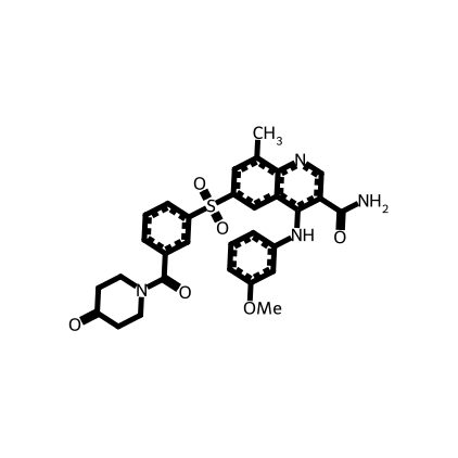 COc1cccc(Nc2c(C(N)=O)cnc3c(C)cc(S(=O)(=O)c4cccc(C(=O)N5CCC(=O)CC5)c4)cc23)c1